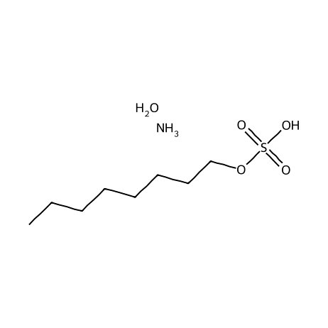 CCCCCCCCOS(=O)(=O)O.N.O